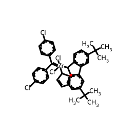 CC(C)(C)c1ccc2c(c1)-c1cc(C(C)(C)C)ccc1[CH]2[Zr]([Cl])([Cl])(=[C](c1ccc(Cl)cc1)c1ccc(Cl)cc1)[CH]1C=CC=C1